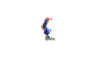 COc1ccc(-c2cnc3c(Nc4ccc(C(=O)N5CCC(N6CCC(O)CC6)CC5)c(C)c4)nccn23)cc1F